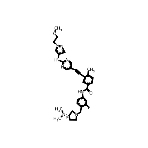 COCCn1cc(Nc2ncc(C#Cc3cc(C(=O)Nc4ccc(CN5CC[C@H](N(C)C)C5)c(F)c4)ccc3C)cn2)cn1